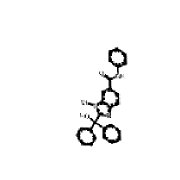 CCn1c(C(O)(c2ccccc2)c2ccccc2)nc2ccc(C(=O)Nc3ccccc3)cc21